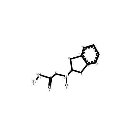 CCNC(=O)C[S+]([O-])C1Cc2ccccc2C1